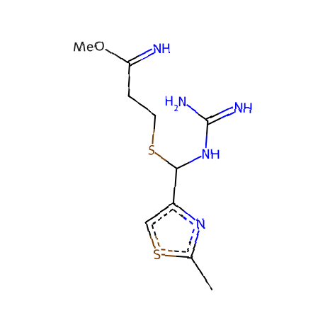 COC(=N)CCSC(NC(=N)N)c1csc(C)n1